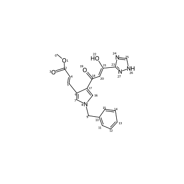 COC(=O)C=Cc1cn(Cc2ccccc2)cc1C(=O)C=C(O)c1nc[nH]n1